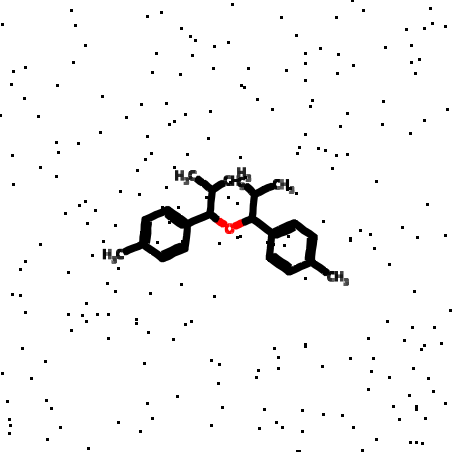 Cc1ccc(C(OC(c2ccc(C)cc2)C(C)C)C(C)C)cc1